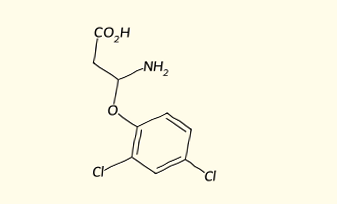 NC(CC(=O)O)Oc1ccc(Cl)cc1Cl